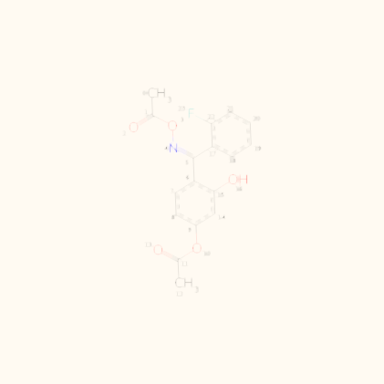 CC(=O)ON=C(c1ccc(OC(C)=O)cc1O)c1ccccc1F